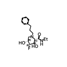 CCNC(=O)[C@@H]1[C@@H](O)[C@H](F)[C@H](O)CN1CCCc1ccccc1